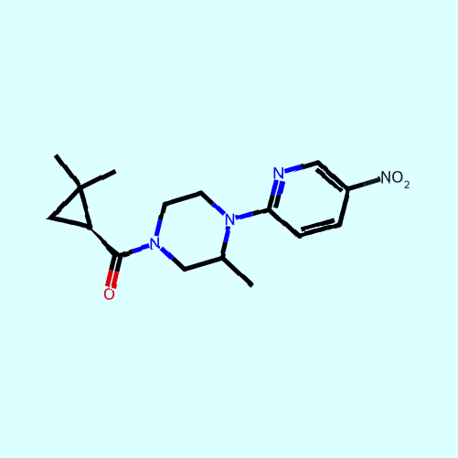 CC1CN(C(=O)[C@H]2CC2(C)C)CCN1c1ccc([N+](=O)[O-])cn1